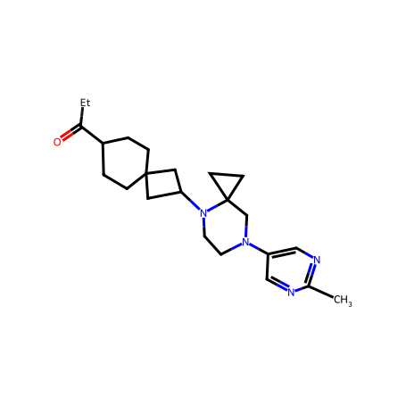 CCC(=O)C1CCC2(CC1)CC(N1CCN(c3cnc(C)nc3)CC13CC3)C2